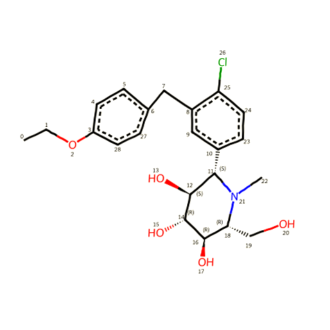 CCOc1ccc(Cc2cc([C@H]3[C@H](O)[C@@H](O)[C@H](O)[C@@H](CO)N3C)ccc2Cl)cc1